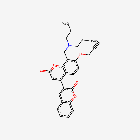 C#CCOc1ccc2c(-c3cc4ccccc4oc3=O)cc(=O)oc2c1CN(CCOC)CCOC